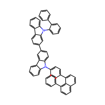 c1ccc(-c2ccccc2-n2c3ccccc3c3ccc(-c4ccc5c(c4)c4ccccc4n5-c4ccc(-c5cccc6cccc(-c7ccccc7)c56)cc4)cc32)cc1